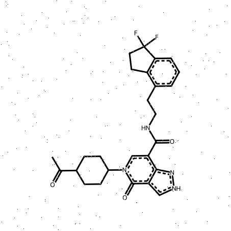 CC(=O)C1CCC(n2cc(C(=O)NCCc3cccc4c3CCC4(F)F)c3n[nH]cc3c2=O)CC1